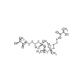 C=C(CC)C(=O)OCCCC[Si](C)(C)C[SiH](C)O[Si](C)(C)CCCCOC(=O)C(=C)CC